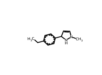 CCc1ccc(C2C=CN(C)N2)cc1